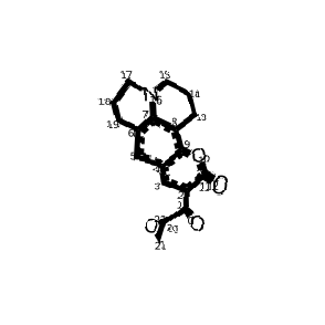 O=C(c1cc2cc3c4c(c2oc1=O)CCCN4CCC3)C1CO1